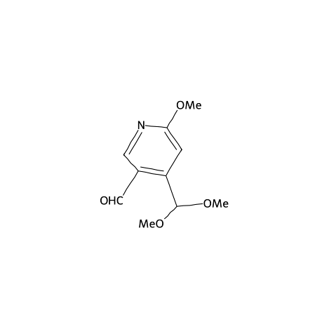 COc1cc(C(OC)OC)c(C=O)cn1